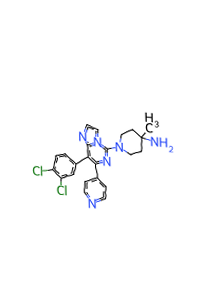 CC1(N)CCN(c2nc(-c3ccncc3)c(-c3ccc(Cl)c(Cl)c3)c3nccn23)CC1